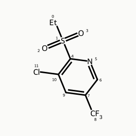 CCS(=O)(=O)c1ncc(C(F)(F)F)cc1Cl